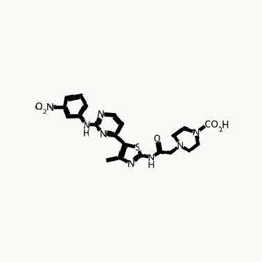 Cc1nc(NC(=O)CN2CCN(C(=O)O)CC2)sc1-c1ccnc(Nc2cccc([N+](=O)[O-])c2)n1